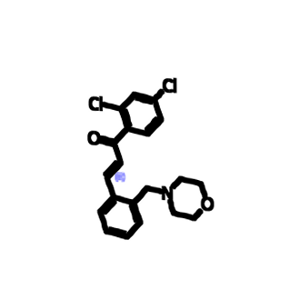 O=C(/C=C/c1ccccc1CN1CCOCC1)c1ccc(Cl)cc1Cl